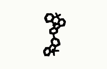 CC1(C)c2ccccc2-n2c3ccc(-c4ccc5c(c4)-c4ccccc4[Si]5(C)C)cc3c3cccc1c32